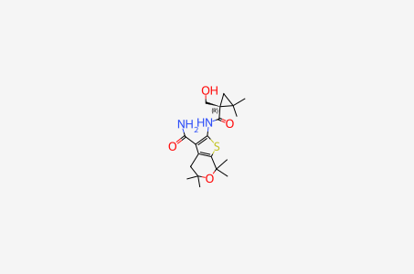 CC1(C)Cc2c(sc(NC(=O)[C@]3(CO)CC3(C)C)c2C(N)=O)C(C)(C)O1